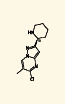 Cc1cn2nc([C@@H]3CCCCN3)cc2nc1Cl